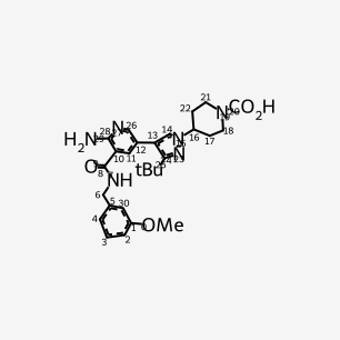 COc1cccc(CNC(=O)c2cc(-c3cn(C4CCN(C(=O)O)CC4)nc3C(C)(C)C)cnc2N)c1